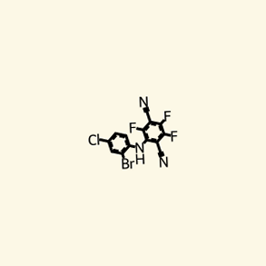 N#Cc1c(F)c(F)c(C#N)c(Nc2ccc(Cl)cc2Br)c1F